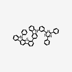 c1ccc(-c2nc(-c3ccccc3)nc(-c3cccc(-n4c5ccccc5c5cc(-c6cccc7c6sc6c7ccc7c8ccccc8n(-c8ccccc8)c76)ccc54)c3)n2)cc1